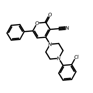 N#Cc1c(N2CCN(c3ccccc3Cl)CC2)cc(-c2ccccc2)oc1=O